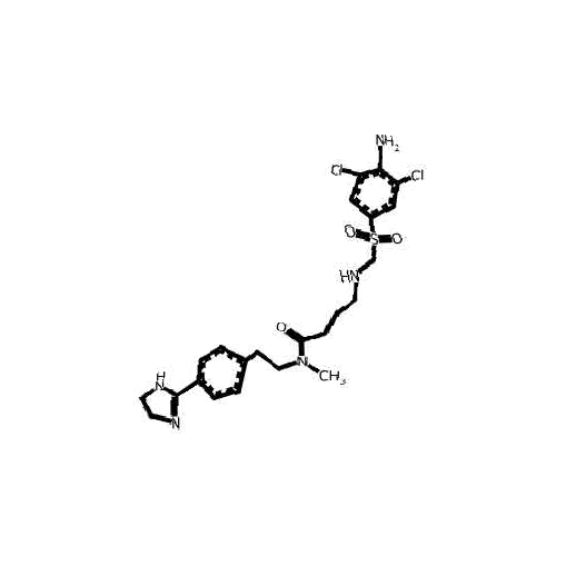 CN(CCc1ccc(C2=NCCN2)cc1)C(=O)CCCNCS(=O)(=O)c1cc(Cl)c(N)c(Cl)c1